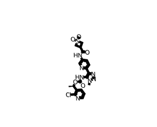 C[C@@H](OC(=O)Nc1c(-c2ccc(NC(=O)C3CS(=O)(=O)C3)cn2)nnn1C)c1cccnc1Cl